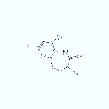 Cc1cc(Cl)cc2c1NC(=O)C(I)CC2